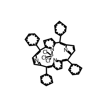 ClP1(Cl)(Cl)n2c3ccc2C(c2ccccc2)=C2C=CC(=N2)C(c2ccccc2)=c2ccc(n21)=C(c1ccccc1)C1=NC(=C3c2ccccc2)C=C1